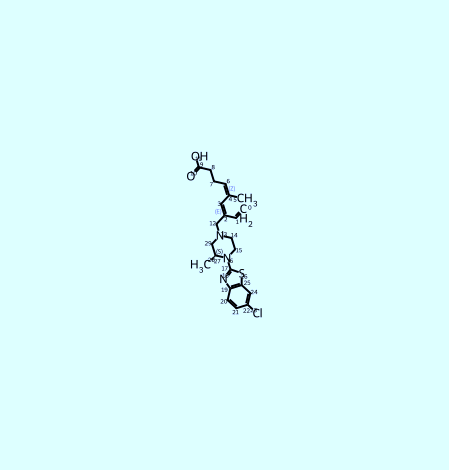 C=C/C(=C\C(C)=C/CCC(=O)O)CN1CCN(c2nc3ccc(Cl)cc3s2)[C@@H](C)C1